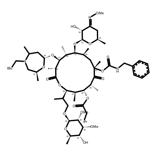 CON=C1C[C@@H](C)O[C@@H](O[C@@H]2[C@@H](C)[C@H](O[C@H]3CC(C)N(CC(C)(C)C)C[C@H](C)O3)[C@@H](C)C(=O)O[C@H](C(C)CO[C@@H]3O[C@H](C)[C@@H](O)[C@@H](OC)[C@H]3OC)[C@H](C)[C@@H](OC(=O)CC(C)C)[C@@H](C)C(=O)[C@@](C)(OC(=O)NCc3ccccc3)C[C@@H]2C)[C@@H]1O